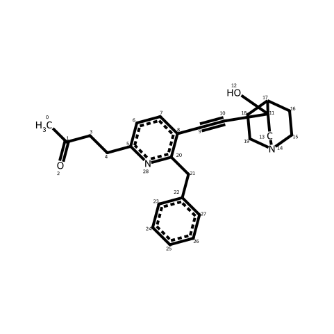 CC(=O)CCc1ccc(C#CC2(O)CN3CCC2CC3)c(Cc2ccccc2)n1